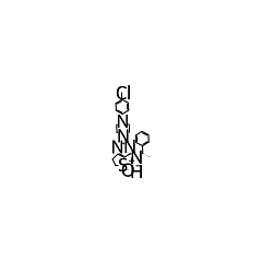 C[C@H](Nc1nc(N2CCN(c3ccc(Cl)cc3)CC2)nc2c1[S+]([O-])CC2)c1ccccc1